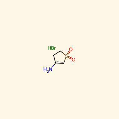 Br.NC1=CS(=O)(=O)CC1